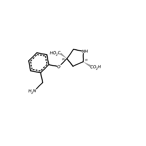 NCc1ccccc1O[C@@]1(C(=O)O)CN[C@H](C(=O)O)C1